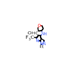 CCn1ncc2c(NC3CCOCC3)c(C=O)c(C(F)(F)F)nc21